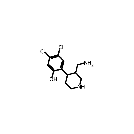 NCC1CNCCC1c1cc(Cl)c(Cl)cc1O